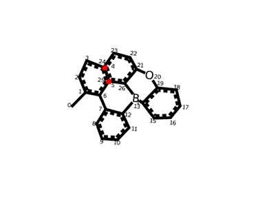 Cc1ccccc1-c1ccccc1B1c2ccccc2Oc2ccccc21